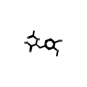 COc1cc(C[C@H](NC(C)=O)C(=O)O)ccc1O